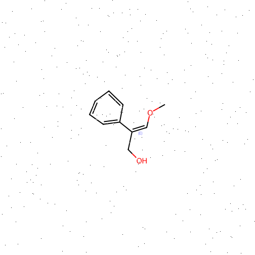 CO/C=C(/CO)c1ccccc1